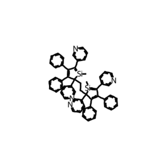 C[Si]1=C(c2cccnc2)C(c2ccccc2)=C(c2ccccc2)C1(CCC1(c2cccnc2)C(c2ccccc2)=C(c2ccccc2)C(c2cccnc2)=[Si]1C)c1cccnc1